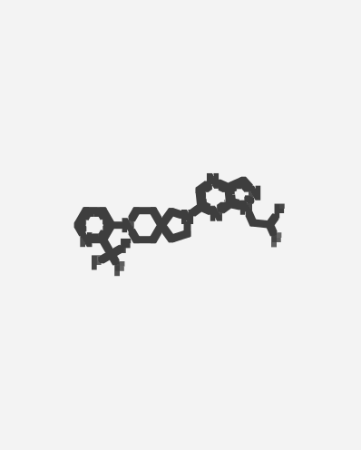 FC(F)Cn1ncc2ncc(N3CCC4(CCN(c5cccnc5C(F)(F)F)CC4)C3)nc21